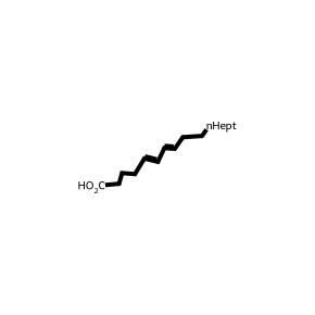 CCCCCCCCC/C=C/C=C/CCCC(=O)O